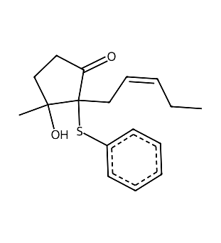 CC/C=C\CC1(Sc2ccccc2)C(=O)CCC1(C)O